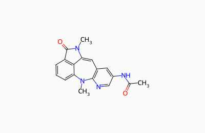 CC(=O)Nc1cnc2c(c1)C=C1c3c(cccc3N2C)C(=O)N1C